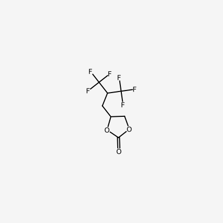 O=C1OCC(CC(C(F)(F)F)C(F)(F)F)O1